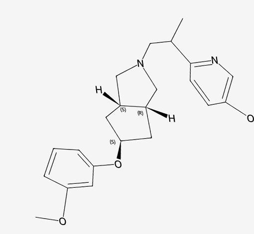 COc1cccc(O[C@H]2C[C@@H]3CN(CC(C)c4ccc(O)cn4)C[C@@H]3C2)c1